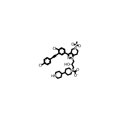 CS(=O)(=O)N1CCc2c(c(-c3ccc(Cl)c(C#Cc4ccc(Cl)cc4)c3)nn2C[C@@H](O)C[N+]2(C(=O)[O-])CCC(C3CCNCC3)CC2)C1